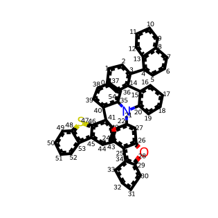 c1ccc(-c2cccc3ccccc23)c(-c2ccccc2N(c2ccc3c(c2)oc2ccccc23)c2ccccc2-c2cccc3c2sc2ccccc23)c1